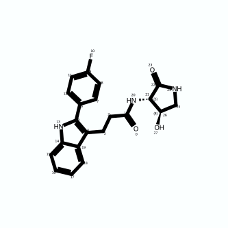 O=C(CCc1c(-c2ccc(F)cc2)[nH]c2ccccc12)N[C@@H]1C(=O)NC[C@H]1O